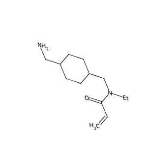 C=CC(=O)N(CC)CC1CCC(CN)CC1